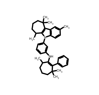 Cc1ccc2c(c1)c1c(n2-c2cccc(NC3=C(c4ccccc4)C(C)(C)CCCC3C)c2)C(C)CCCC1(C)C